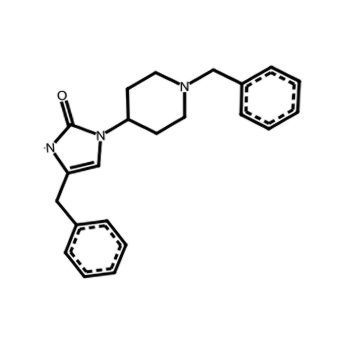 O=C1[N]C(Cc2ccccc2)=CN1C1CCN(Cc2ccccc2)CC1